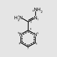 N/N=C(\N)c1ncccn1